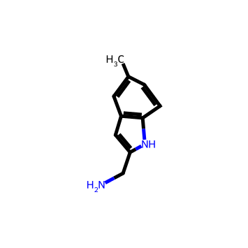 Cc1ccc2[nH]c(CN)cc2c1